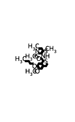 CCCCCOc1cc2c(cc1OC)CCSC2C(=O)Nc1c(SC)cc(C)nc1SC